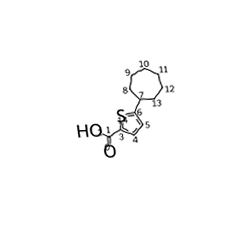 O=C(O)c1ccc(C2CCCCCC2)s1